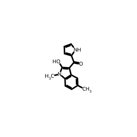 Cc1ccc2c(c1)c(C(=O)c1ccc[nH]1)c(O)n2C